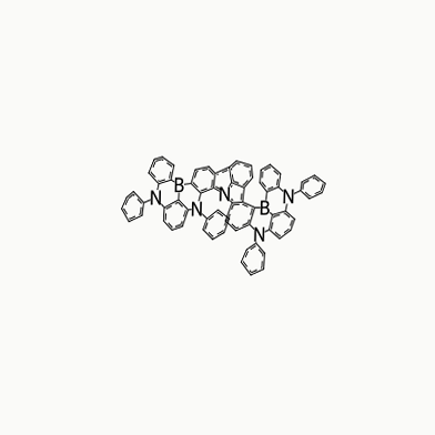 c1ccc(N2c3ccccc3B3c4c2cccc4N(c2ccccc2)c2ccc4c(c23)c2cccc3c5ccc6c(c5n4c32)N(c2ccccc2)c2cccc3c2B6c2ccccc2N3c2ccccc2)cc1